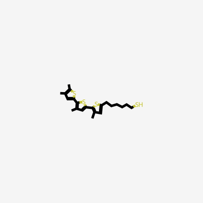 Cc1cc(-c2sc(-c3sc(CCCCCCS)cc3C)cc2C)sc1C